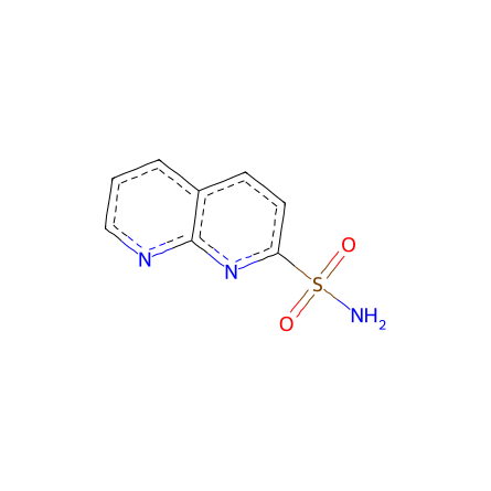 NS(=O)(=O)c1ccc2cccnc2n1